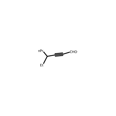 CCCC(C#C[C]=O)CC